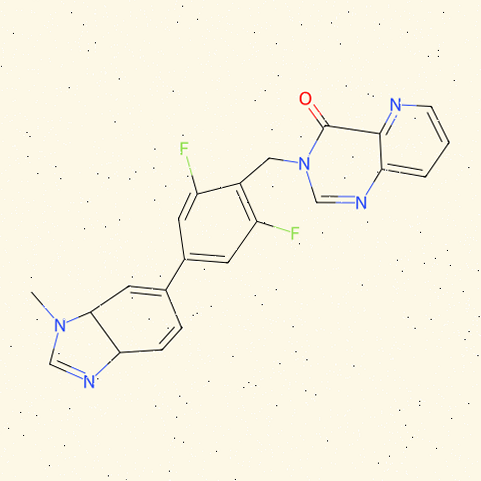 CN1C=NC2C=CC(c3cc(F)c(Cn4cnc5cccnc5c4=O)c(F)c3)=CC21